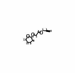 C#CCOCCOC1CCCCO1